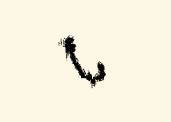 CN(CCCOCCCc1cccc2c1n(C)c(=O)n2C1CCC(=O)NC1O)C[C@H]1CC[C@H](n2cc(NC(=O)c3cnn4ccc(N5CCOCC5)nc34)c(C(F)F)n2)CC1